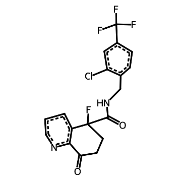 O=C1CCC(F)(C(=O)NCc2ccc(C(F)(F)F)cc2Cl)c2cccnc21